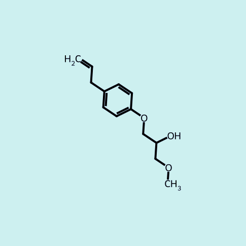 C=CCc1ccc(OCC(O)COC)cc1